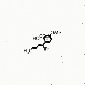 C/C=C/C=C(/c1ccc(OC)cc1)C(C)C.O=C(O)O